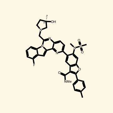 CNC(=O)c1c(-c2ccc(C)cc2)oc2cc(N(C)S(C)(=O)=O)c(-c3ccc4nc(CN5CC[C@@](C)(O)C5)n5c6cccc(F)c6cc5c4n3)cc12